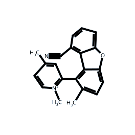 Cc1cc[n+](C)c(-c2c(C)ccc3oc4cccc(C#N)c4c23)c1